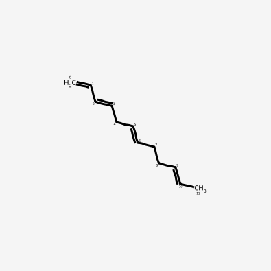 C=CC=CCC=CCCC=CC